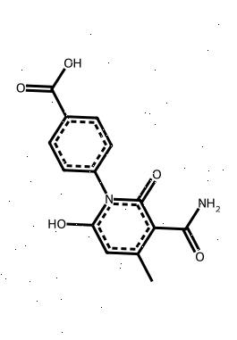 Cc1cc(O)n(-c2ccc(C(=O)O)cc2)c(=O)c1C(N)=O